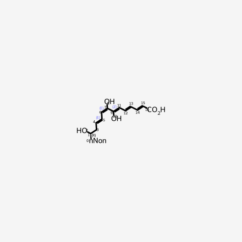 CCCCCCCCC[C@@H](O)C/C=C/C=C(O)\C(O)=C\C=CC=CC(=O)O